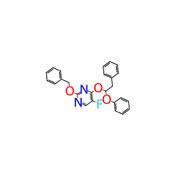 Fc1cnc(OCc2ccccc2)nc1OC(Cc1ccccc1)Oc1ccccc1